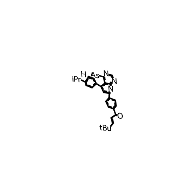 CC(C)c1ccc(-c2cc(-c3ccc(C(=O)C=CC(C)(C)C)cc3)nc3ncnc([AsH2])c23)cc1